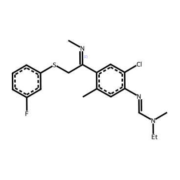 CCN(C)C=Nc1cc(C)c(/C(CSc2cccc(F)c2)=N/C)cc1Cl